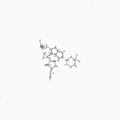 CC#C[C@H]1C[C@]1(C1=NOC(=C=O)N1)n1c(C(=O)O)cc2cc([C@H]3CCOC(C)(C)C3)sc21